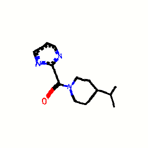 CC(C)C1CCN(C(=O)c2ncccn2)CC1